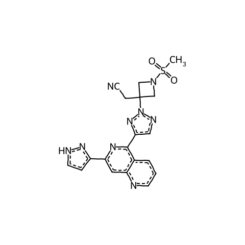 CS(=O)(=O)N1CC(CC#N)(n2ncc(-c3nc(-c4cc[nH]n4)cc4ncccc34)n2)C1